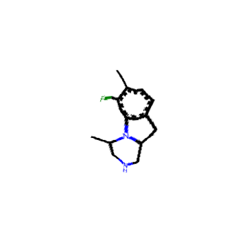 Cc1ccc2c(c1F)N1C(C)CNCC1C2